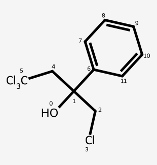 OC(CCl)(CC(Cl)(Cl)Cl)c1ccccc1